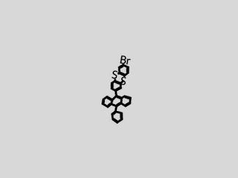 Brc1ccc2c(c1)Sc1ccc(-c3c4ccccc4c(-c4ccccc4)c4ccccc34)cc1S2